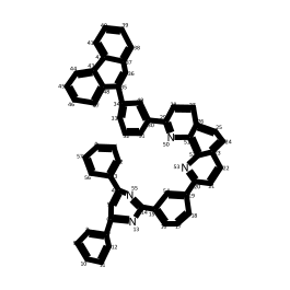 c1ccc(-c2cc(-c3ccccc3)nc(-c3cccc(-c4ccc5ccc6ccc(-c7cccc(-c8cc9ccccc9c9ccccc89)c7)nc6c5n4)c3)n2)cc1